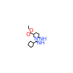 CCOC(=O)C1CCC(=N)N(C(=N)C2CCCCC2)C1